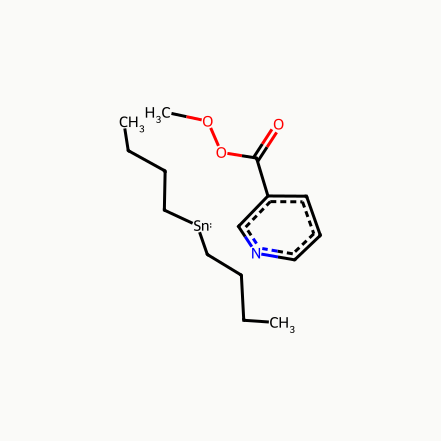 CCC[CH2][Sn][CH2]CCC.COOC(=O)c1cccnc1